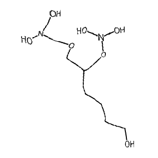 OCCCCC(CON(O)O)ON(O)O